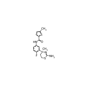 Cc1ccc(C(=O)Nc2ccc(F)c([C@]3(C)CCSC(N)=N3)c2)s1